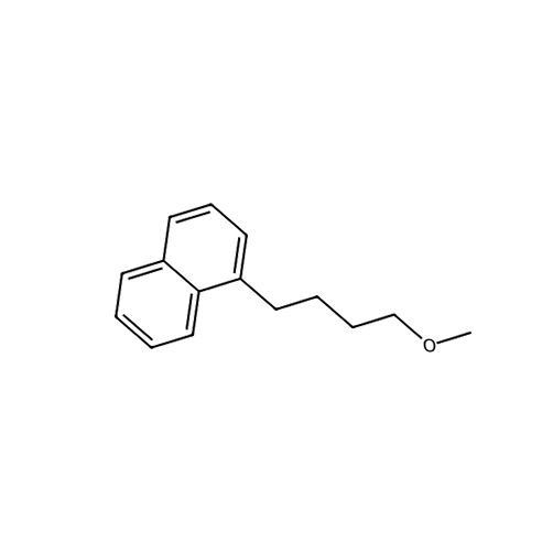 COCCCCc1cccc2ccccc12